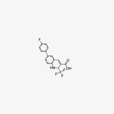 O=C(O)C1=Cc2cc(-c3ccc(F)cc3)ccc2NC1C(F)(F)F